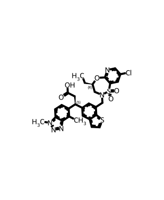 CC[C@@H]1CN(Cc2cc([C@H](CC(=O)O)c3ccc4c(nnn4C)c3C)cc3ccsc23)S(=O)(=O)c2cc(Cl)cnc2O1